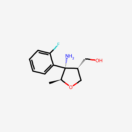 C[C@@H]1OC[C@@H](CO)[C@]1(N)c1ccccc1F